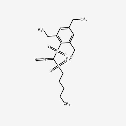 CCCCCS(=O)(=O)C(=[N+]=[N-])S(=O)(=O)c1c(CC)cc(CC)cc1CC